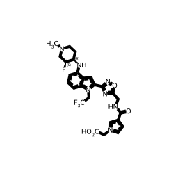 CN1CC[C@@H](Nc2cccc3c2cc(-c2noc(CNC(=O)c4ccn(CC(=O)O)c4)n2)n3CC(F)(F)F)[C@@H](F)C1